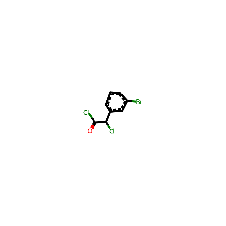 O=C(Cl)C(Cl)c1cccc(Br)c1